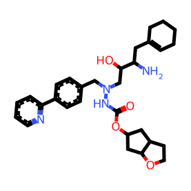 NC(CC1=CCCCC1)C(O)CN(Cc1ccc(-c2ccccn2)cc1)NC(=O)OC1CC2CCOC2C1